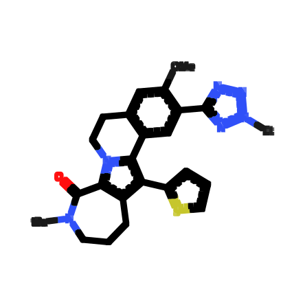 CCn1nnc(-c2cc3c(cc2OC)CCn2c4c(c(-c5cccs5)c2-3)CCCN(C(C)(C)C)C4=O)n1